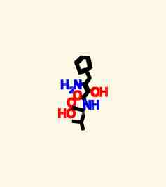 CC(C)C[C@@H](NC(=O)C(O)=C(N)Cc1ccccc1)C(=O)O